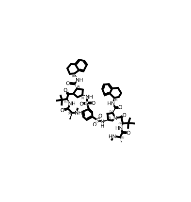 CN[C@@H](C)C(=O)N[C@H](C(=O)C1C[C@@H](NS(=O)(=O)c2cccc(S(=O)(=O)N[C@H]3C[C@@H](C(=O)N[C@@H]4CCCc5ccccc54)N(C(=O)[C@@H](NC(=O)[C@H](C)NC)C(C)(C)C)C3)c2)C[C@H]1C(=O)N[C@@H]1CCCc2ccccc21)C(C)(C)C